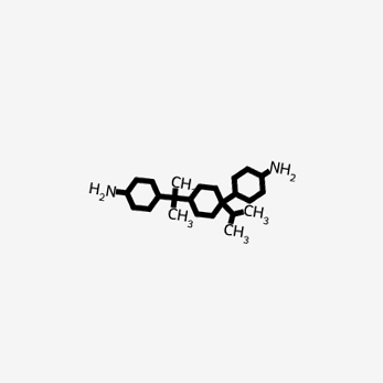 CC(C)C1(C2CCC(N)CC2)CCC(C(C)(C)C2CCC(N)CC2)CC1